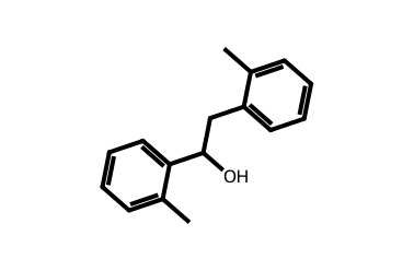 Cc1ccccc1CC(O)c1ccccc1C